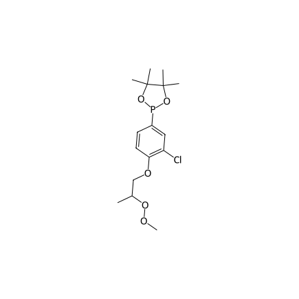 COOC(C)COc1ccc(P2OC(C)(C)C(C)(C)O2)cc1Cl